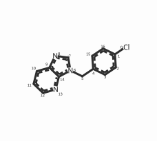 Clc1ccc(Cn2[c]nc3cccnc32)cc1